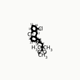 COC(=O)C(C)(C)Cc1cc2c(Cc3c(Cl)cccc3Cl)cccc2s1